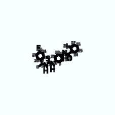 CC(NC(=S)Nc1ccc(NC(=O)c2ccccc2I)cc1)c1ccc(F)cc1